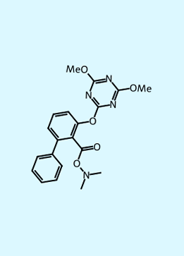 COc1nc(OC)nc(Oc2cccc(-c3ccccc3)c2C(=O)ON(C)C)n1